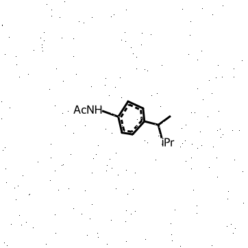 CC(=O)Nc1ccc(C(C)C(C)C)cc1